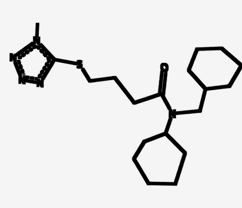 Cn1nnnc1SCCCC(=O)N(CC1CCCCC1)C1CCCCC1